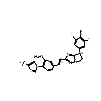 COc1cc(/C=C/c2nc3n(n2)CC[C@@H]3c2cc(F)c(F)c(F)c2)ccc1-n1cnc(C)c1